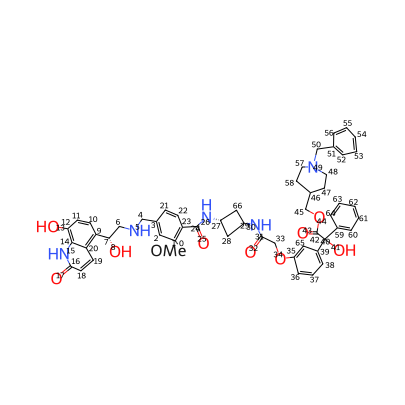 COc1cc(CNC[C@H](O)c2ccc(O)c3[nH]c(=O)ccc23)ccc1C(=O)N[C@H]1C[C@H](NC(=O)COc2cccc(C(O)(C(=O)OCC3CCN(Cc4ccccc4)CC3)c3ccccc3)c2)C1